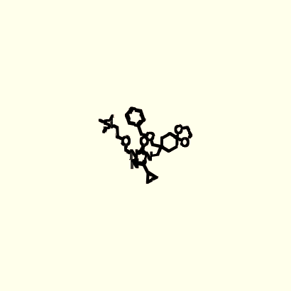 C[Si](C)(C)CCOCn1nc(C2CC2)n(CC2(COCc3ccccc3)CCC3(CC2)OCCO3)c1=O